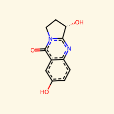 O=c1c2cc(O)ccc2nc2n1CC[C@@H]2O